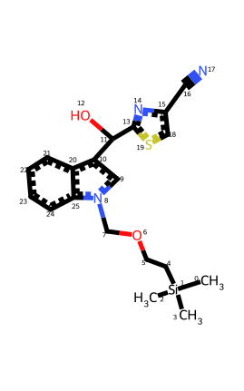 C[Si](C)(C)CCOCn1cc(C(O)c2nc(C#N)cs2)c2ccccc21